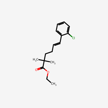 CCOC(=O)C(C)(C)CCC=Cc1ccccc1Cl